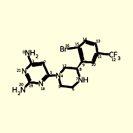 Nc1cc(N2CCN[C@H](c3cc(C(F)(F)F)ccc3Br)C2)nc(N)n1